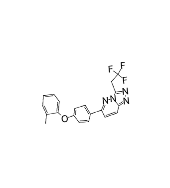 Cc1ccccc1Oc1ccc(-c2ccc3nnc(CC(F)(F)F)n3n2)cc1